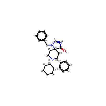 O=C1N=CN(Cc2ccccc2)C12CCN([C@H]1CCCC[C@H]1c1ccccc1)CC2